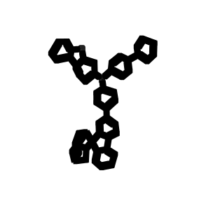 c1ccc(-c2ccc(N(c3ccc(-c4ccc5c(c4)C4(c6ccccc6-5)C5CC6CC(C5)C4C6)cc3)c3ccc4c(c3)oc3ccccc34)cc2)cc1